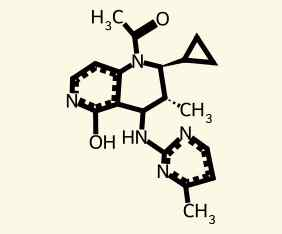 CC(=O)N1c2ccnc(O)c2C(Nc2nccc(C)n2)[C@@H](C)[C@@H]1C1CC1